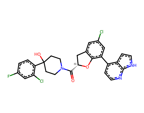 O=C([C@@H]1Cc2cc(Cl)cc(-c3ccnc4[nH]ccc34)c2O1)N1CCC(O)(c2ccc(F)cc2Cl)CC1